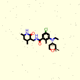 CCN(c1cc(Cl)cc(C(=O)NCC2C(=O)NC(C)CC2C)c1C)[C@H]1CCO[C@H](C)C1